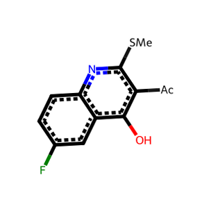 CSc1nc2ccc(F)cc2c(O)c1C(C)=O